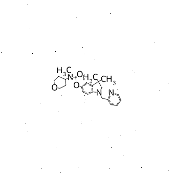 CN(C(=O)Oc1ccc2c(c1)C(C)(C)CN2Cc1ccccn1)C1CCOCC1